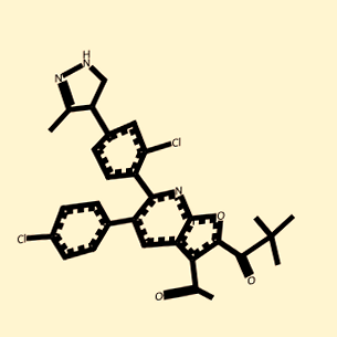 CC(=O)c1c(C(=O)C(C)(C)C)oc2nc(-c3ccc(C4CNN=C4C)cc3Cl)c(-c3ccc(Cl)cc3)cc12